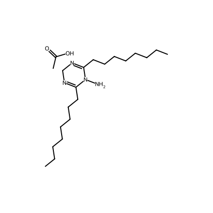 CC(=O)O.CCCCCCCCC1=NCN=C(CCCCCCCC)N1N